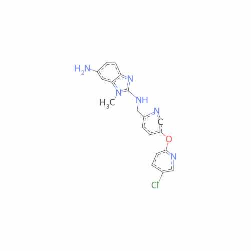 Cn1c(NCc2ccc(Oc3ccc(Cl)cn3)cn2)nc2ccc(N)cc21